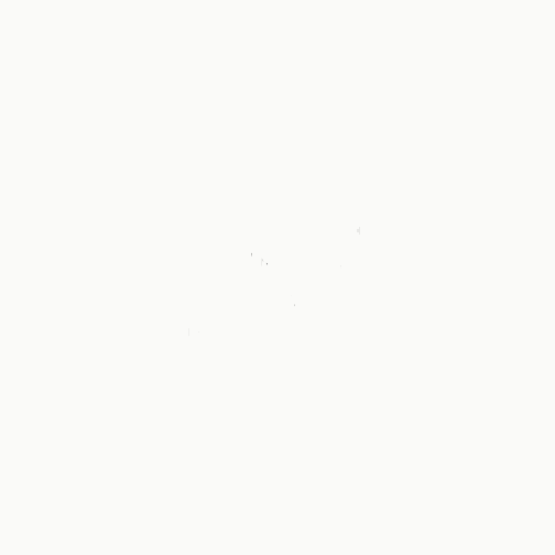 N.OCCOCCO.[Ti]